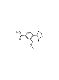 COCc1cc(C(=O)O)ccc1N1CCCC1C